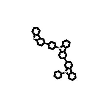 c1ccc(-n2c3ccccc3c3ccc(-c4ccc5c(c4)c4ccccc4n5-c4ccc(-c5ccc6sc7ccccc7c6c5)cc4)cc32)cc1